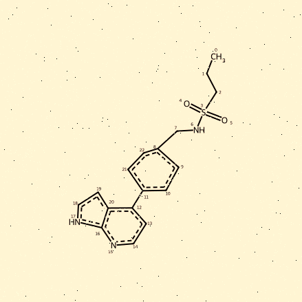 CCCS(=O)(=O)NCc1ccc(-c2ccnc3[nH]ccc23)cc1